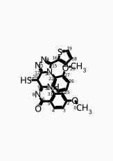 COc1ccc2c(=O)nc(C(S)c3nnc(-c4cccs4)n3-c3ccccc3OC)[nH]c2c1